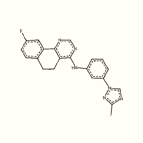 Cc1ncn(-c2cccc(Nc3ncnc4c3CCc3ccc(F)cc3-4)c2)n1